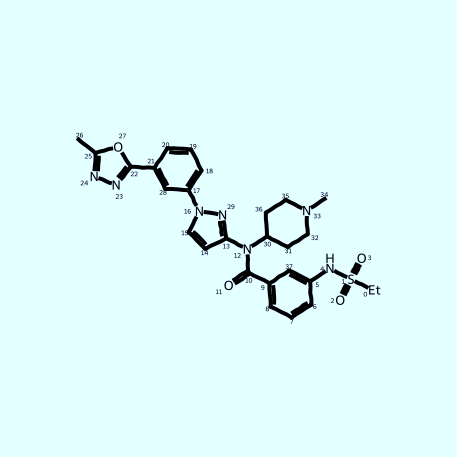 CCS(=O)(=O)Nc1cccc(C(=O)N(c2ccn(-c3cccc(-c4nnc(C)o4)c3)n2)C2CCN(C)CC2)c1